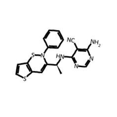 C[C@H](Nc1ncnc(N)c1C#N)C1=Cc2sccc2SN1c1ccccc1